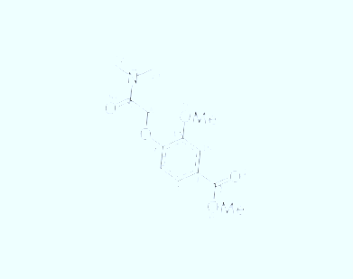 COC(=O)c1ccc(OCC(=O)N(C)C)c(OC)c1